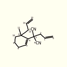 C=CCC(C#N)(C#N)C1=CCCCC1(C)CC=C